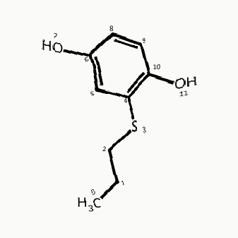 CCCSc1cc(O)ccc1O